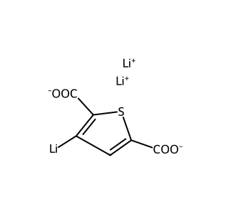 [Li+].[Li+].[Li][c]1cc(C(=O)[O-])sc1C(=O)[O-]